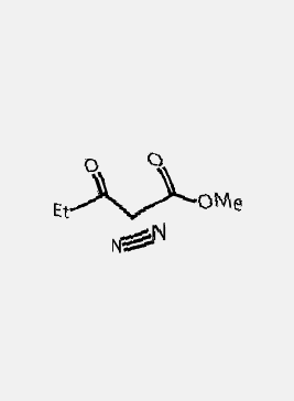 CCC(=O)CC(=O)OC.N#N